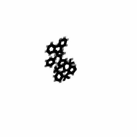 CC1(C)c2cccc3c2N2c4c1cccc4C(C)(C)c1cc(-c4nc5c6cccnc6c6ncccc6c5n4-c4ccccc4)cc(c12)C3(C)C